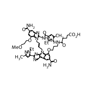 CCn1nc(C)cc1C(=O)Nc1nc2cc(C(N)=O)cc(OCCCOC)c2n1CC=CCn1c2nc(-c3cc(C)nn3CC)ncc2c2cc(C(N)=O)cc(OCCCNC(=O)CCCC(=O)O)c21